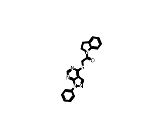 O=C(CSc1ncnc2c1cnn2-c1ccccc1)N1CCc2ccccc21